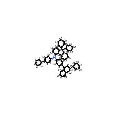 c1ccc(-c2ccc(N(c3ccc(-c4cc(-c5ccccc5)cc5ccccc45)cc3)c3cccc4c3-c3ccccc3C4(c3ccccc3)c3ccccc3)cc2)cc1